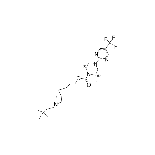 C[C@@H]1CN(c2ncc(C(F)(F)F)cn2)C[C@H](C)N1C(=O)OCCC1CC2(C1)CN(CCC(C)(C)C)C2